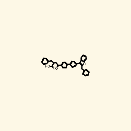 O=C(CC(Cc1ccccc1)C(=O)O)c1ccc(-c2ccc(-c3c(Cc4ccccc4)oc4ccccc34)cc2)cc1